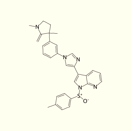 C=C1N(C)CCC1(C)c1cccc(-n2cnc(-c3cn([S+]([O-])c4ccc(C)cc4)c4ncccc34)c2)c1